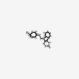 CN1CCc2c(c3ccccc3n2CCc2ccc(F)nc2)C1